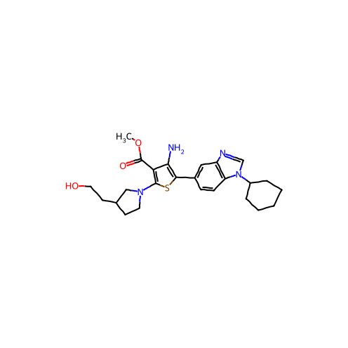 COC(=O)c1c(N2CCC(CCO)C2)sc(-c2ccc3c(c2)ncn3C2CCCCC2)c1N